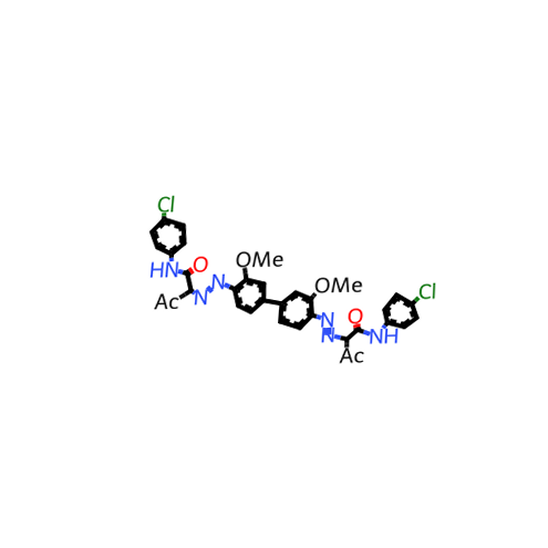 COc1cc(-c2ccc(N=NC(C(C)=O)C(=O)Nc3ccc(Cl)cc3)c(OC)c2)ccc1N=NC(C(C)=O)C(=O)Nc1ccc(Cl)cc1